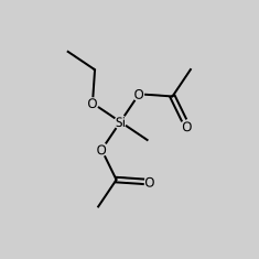 CCO[Si](C)(OC(C)=O)OC(C)=O